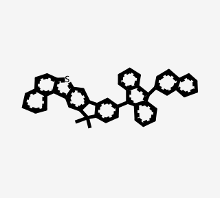 CC1(C)c2ccc(-c3c4ccccc4c(-c4ccc5ccccc5c4)c4ccccc34)cc2-c2cc3sc4ccc5ccccc5c4c3cc21